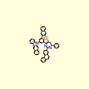 CC1=C(c2cc(-n3c4ccccc4c4cc5ccccc5cc43)cc3c2oc2cc4ccccc4cc23)N=C(c2ccc3c(ccc4ccccc43)c2)N=C(c2ccccc2)C1